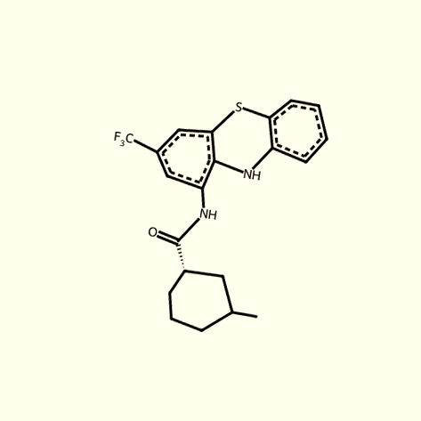 CC1CCC[C@H](C(=O)Nc2cc(C(F)(F)F)cc3c2Nc2ccccc2S3)C1